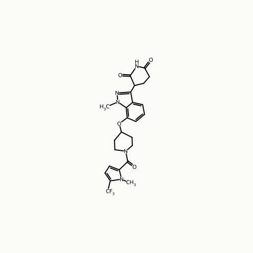 Cn1c(C(=O)N2CCC(Oc3cccc4c(C5CCC(=O)NC5=O)nn(C)c34)CC2)ccc1C(F)(F)F